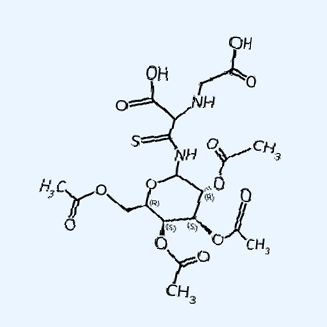 CC(=O)OC[C@H]1OC(NC(=S)C(NCC(=O)O)C(=O)O)[C@H](OC(C)=O)[C@@H](OC(C)=O)[C@H]1OC(C)=O